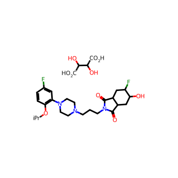 CC(C)Oc1ccc(F)cc1N1CCN(CCCN2C(=O)C3CC(O)C(F)CC3C2=O)CC1.O=C(O)C(O)C(O)C(=O)O